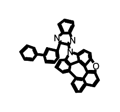 c1ccc(-c2cccc(-c3nc4ccccc4nc3-n3c4cccc5c4c4c6c(ccc43)oc3ccc4cccc-5c4c36)c2)cc1